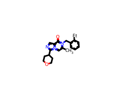 CCc1ccccc1Cn1c(C)cn2c(C3CCOCC3)ncc2c1=O